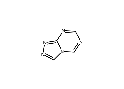 c1ncn2cnnc2n1